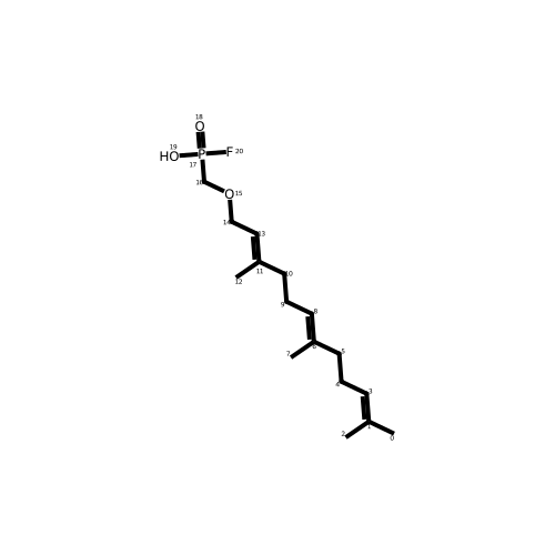 CC(C)=CCC/C(C)=C/CC/C(C)=C/COCP(=O)(O)F